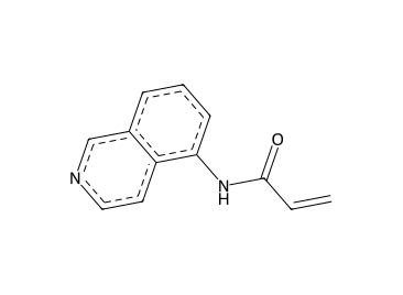 C=CC(=O)Nc1cccc2cnccc12